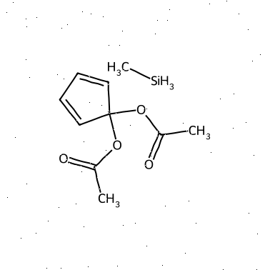 CC(=O)OC1(OC(C)=O)C=CC=C1.C[SiH3]